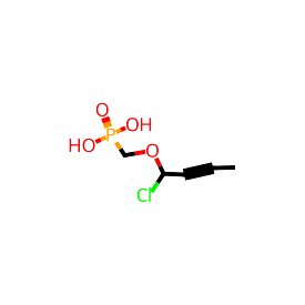 CC#CC(Cl)OCP(=O)(O)O